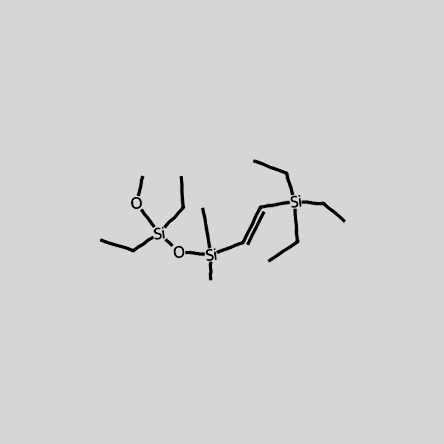 CC[Si](C=C[Si](C)(C)O[Si](CC)(CC)OC)(CC)CC